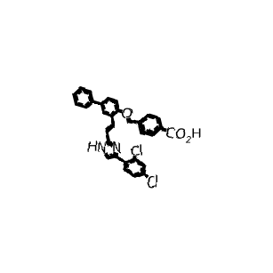 O=C(O)c1ccc(COc2ccc(-c3ccccc3)cc2/C=C/c2nc(-c3ccc(Cl)cc3Cl)c[nH]2)cc1